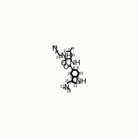 CC(C)CC(NC(=O)c1ccc2[nH]cc(CN(C)C)c2c1)C(=O)NCC#N